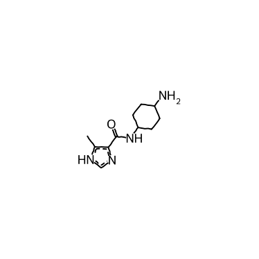 Cc1[nH]cnc1C(=O)NC1CCC(N)CC1